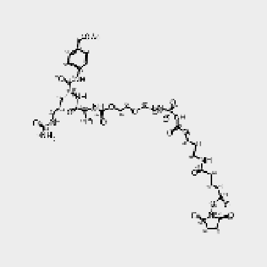 CC(=O)OCc1ccc(NC(=O)[C@@H](CCCNC(N)=O)NC(=O)C(NC(=O)OCCOCCNS(=O)(=O)NC(=O)OCCCNC(=O)CCCC(=O)ON2C(=O)CCC2=O)C(C)C)cc1